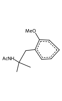 COc1ccccc1CC(C)(C)NC(C)=O